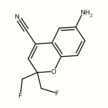 N#CC1=CC(CF)(CF)Oc2ccc(N)cc21